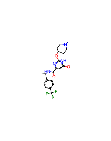 CC(NC(=O)c1cc(=O)[nH]c(OC2CCN(C)CC2)n1)c1ccc(C(F)(F)F)cc1